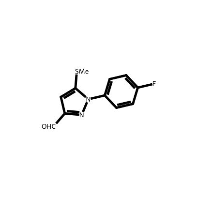 CSc1cc(C=O)nn1-c1ccc(F)cc1